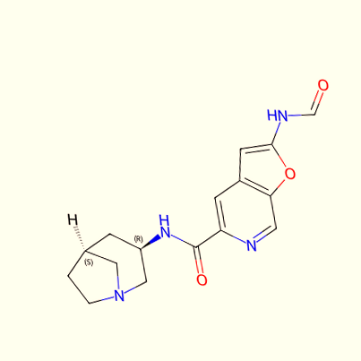 O=CNc1cc2cc(C(=O)N[C@@H]3C[C@@H]4CCN(C4)C3)ncc2o1